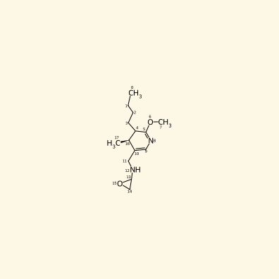 CCCCC1C(OC)=NC=C(CNC2CO2)[C@H]1C